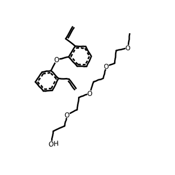 C=Cc1ccccc1Oc1ccccc1C=C.COCCOCCOCCOCCO